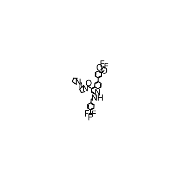 O=C(c1cc(NCc2ccc(C(F)(F)F)cc2)nc2ccc(-c3ccc4c(c3)OC(F)(F)O4)cc12)N1CCC[C@H]1CN1CCCC1